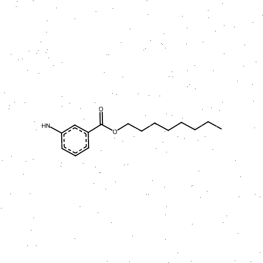 CCCCCCCCOC(=O)c1cccc([NH])c1